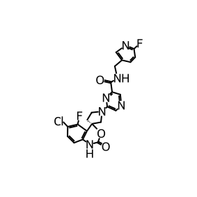 O=C1Nc2ccc(Cl)c(F)c2[C@]2(CCN(c3cncc(C(=O)NCc4ccc(F)nc4)n3)C2)O1